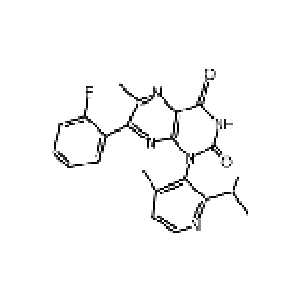 Cc1ccnc(C(C)C)c1-n1c(=O)[nH]c(=O)c2nc(C)c(-c3ccccc3F)nc21